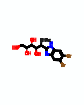 CC(=O)N[C@@H](c1nc2cc(Br)c(Br)cc2[nH]1)[C@@H](O)[C@@H](O)[C@H](O)CO